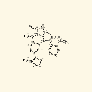 CC(C)c1ccccc1-c1ncc2[nH]c(=O)n(C(C)c3ccc(-c4nccn4C)cc3)c2n1